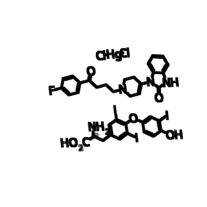 N[C@@H](Cc1cc(I)c(Oc2ccc(O)c(I)c2)c(I)c1)C(=O)O.O=C(CCCN1CC=C(n2c(=O)[nH]c3ccccc32)CC1)c1ccc(F)cc1.[Cl][Hg][Cl]